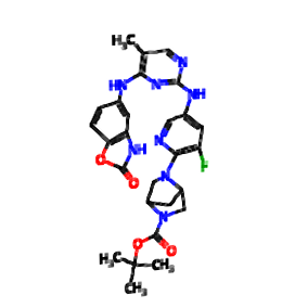 Cc1cnc(Nc2cnc(N3CC4CC3CN4C(=O)OC(C)(C)C)c(F)c2)nc1Nc1ccc2oc(=O)[nH]c2c1